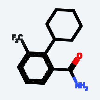 NC(=O)c1cccc(C(F)(F)F)c1C1CCCCC1